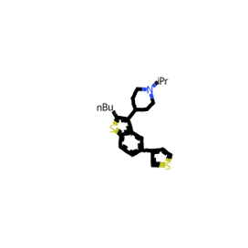 CCCCc1sc2ccc(-c3ccsc3)cc2c1C1CCN(C(C)C)CC1